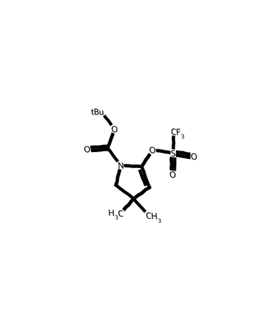 CC1(C)C=C(OS(=O)(=O)C(F)(F)F)N(C(=O)OC(C)(C)C)C1